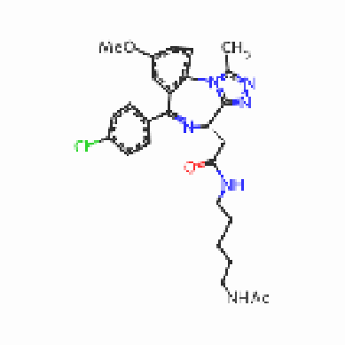 COc1ccc2c(c1)C(c1ccc(Cl)cc1)=N[C@@H](CC(=O)NCCCCCNC(C)=O)c1nnc(C)n1-2